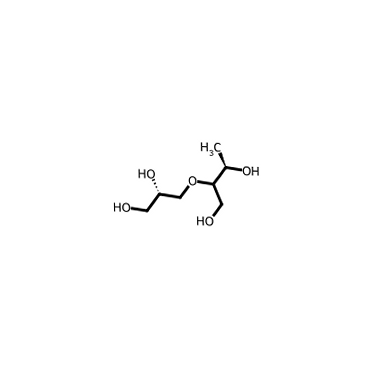 C[C@@H](O)C(CO)OC[C@@H](O)CO